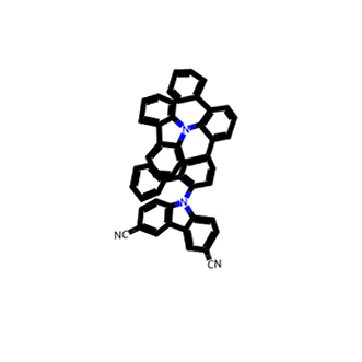 N#Cc1ccc2c(c1)c1cc(C#N)ccc1n2-c1ccc(-c2cccc(-c3ccccc3)c2-n2c3ccccc3c3ccccc32)cc1-c1ccccc1